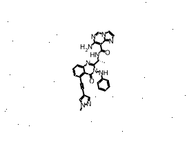 C[C@@H](NC(=O)c1c(N)ncn2ccnc12)c1nc2cccc(C#Cc3cnn(C)c3)c2c(=O)n1Nc1ccccc1